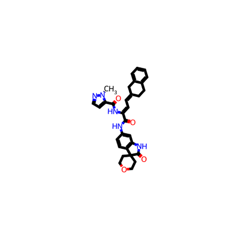 Cn1nccc1C(=O)NC(=CC=C1CCc2ccccc2C1)C(=O)Nc1ccc2c(c1)NC(=O)C21CCOCC1